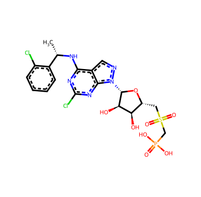 C[C@H](Nc1nc(Cl)nc2c1cnn2[C@@H]1O[C@H](CS(=O)(=O)CP(=O)(O)O)[C@@H](O)[C@H]1O)c1ccccc1Cl